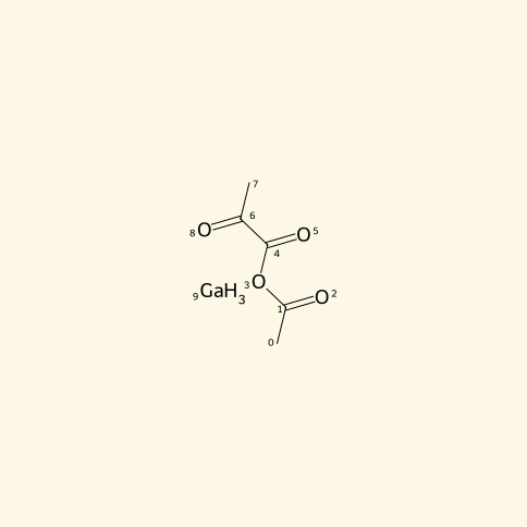 CC(=O)OC(=O)C(C)=O.[GaH3]